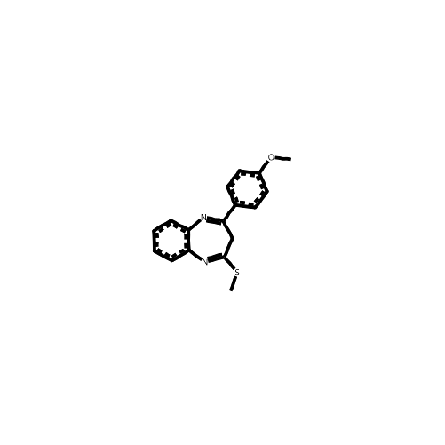 COc1ccc(C2=Nc3ccccc3N=C(SC)C2)cc1